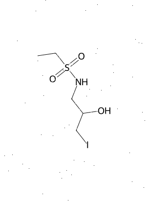 CCS(=O)(=O)NCC(O)CI